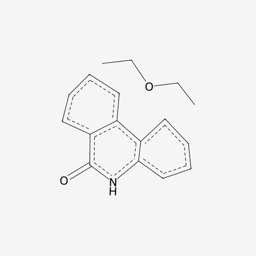 CCOCC.O=c1[nH]c2ccccc2c2ccccc12